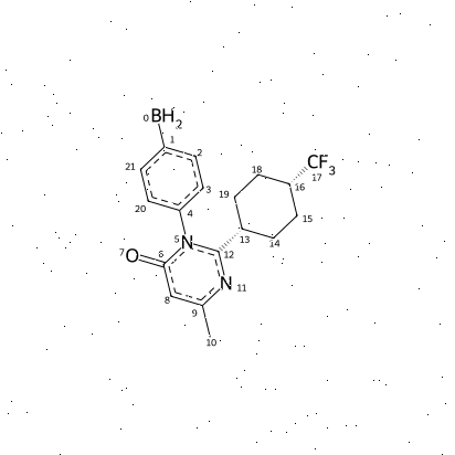 Bc1ccc(-n2c(=O)cc(C)nc2[C@H]2CC[C@@H](C(F)(F)F)CC2)cc1